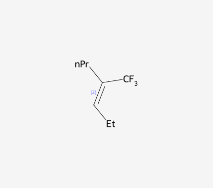 CC/C=C(/CCC)C(F)(F)F